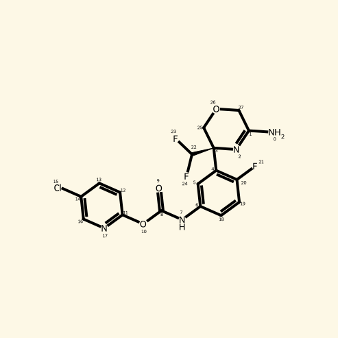 NC1=N[C@@](c2cc(NC(=O)Oc3ccc(Cl)cn3)ccc2F)(C(F)F)COC1